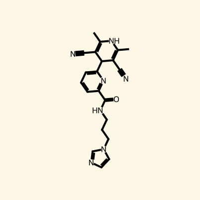 CC1=C(C#N)C(c2cccc(C(=O)NCCCn3ccnc3)n2)C(C#N)=C(C)N1